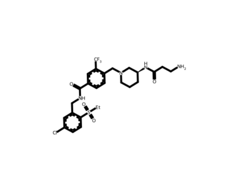 CCS(=O)(=O)c1ccc(Cl)cc1CNC(=O)c1ccc(CN2CCC[C@H](NC(=O)CCN)C2)c(C(F)(F)F)c1